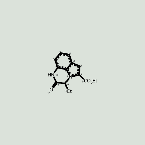 CCOC(=O)c1cc2cccc3c2n1C(CC)C(=O)N3